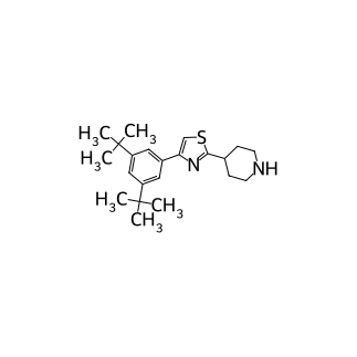 CC(C)(C)c1cc(-c2csc(C3CCNCC3)n2)cc(C(C)(C)C)c1